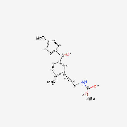 COc1ccc(C(=O)c2ccc(OC)c(C#CCNC(=O)OC(C)(C)C)c2)cc1